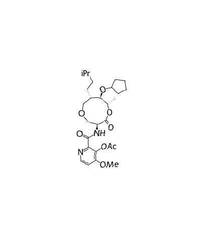 COc1ccnc(C(=O)N[C@H]2COC[C@H](CCC(C)C)[C@@H](OC3CCCC3)[C@H](C)OC2=O)c1OC(C)=O